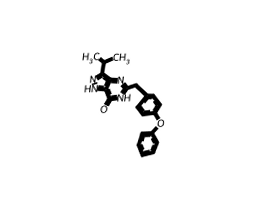 CC(C)c1n[nH]c2c(=O)[nH]c(Cc3ccc(Oc4ccccc4)cc3)nc12